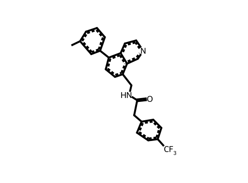 Cc1cccc(-c2ccc(CNC(=O)Cc3ccc(C(F)(F)F)cc3)c3cnccc23)c1